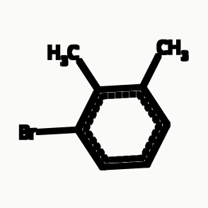 Cc1cccc(Br)c1C